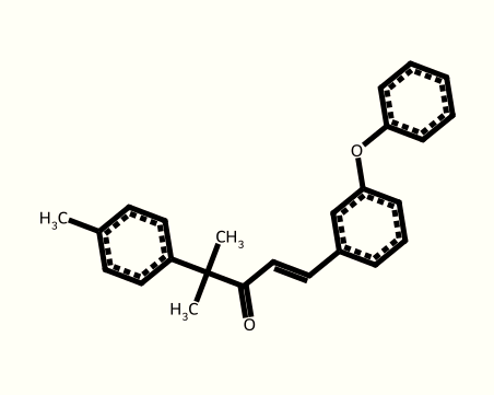 Cc1ccc(C(C)(C)C(=O)C=Cc2cccc(Oc3ccccc3)c2)cc1